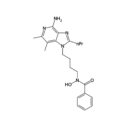 CCCc1nc2c(N)nc(C)c(C)c2n1CCCCN(O)C(=O)c1ccccc1